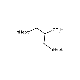 CCCCCCCCC(CCCCCCCC)C(=O)O